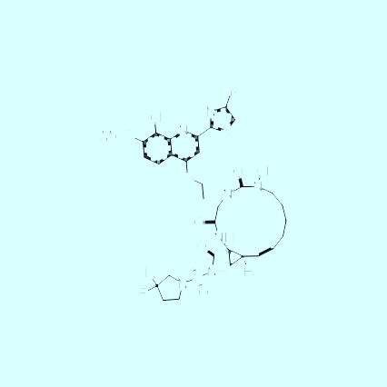 COc1ccc2c(OCC[C@@H]3NC(=O)N(C)CCCC/C=C\[C@@H]4C[C@@]4(C(=O)NS(=O)(=O)N4CCC(F)(F)C4)NC3=O)cc(-c3nc(C(C)C)cs3)nc2c1Cl